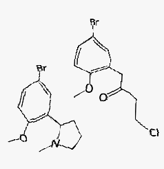 COc1ccc(Br)cc1C1CCCN1C.COc1ccc(Br)cc1CC(=O)CCCl